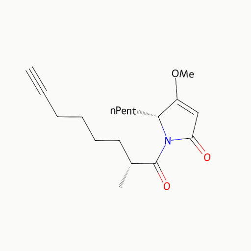 C#CCCCC[C@@H](C)C(=O)N1C(=O)C=C(OC)[C@H]1CCCCC